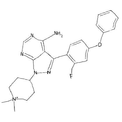 C[N+]1(C)CCC(n2nc(-c3ccc(Oc4ccccc4)cc3F)c3c(N)ncnc32)CC1